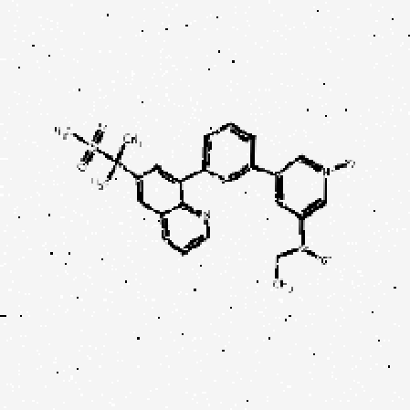 CC[S+]([O-])c1cc(-c2cccc(-c3cc(C(C)(C)S(C)(=O)=O)cc4cccnc34)c2)c[n+]([O-])c1